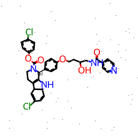 O=C(NCC(O)CCOc1ccc([C@H]2C3=C(CCN2C(=O)Oc2ccc(Cl)cc2)C2C=C(Cl)C=CC2N3)cc1)c1ccncc1